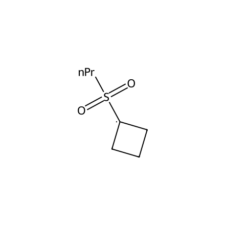 CCCS(=O)(=O)[C]1CCC1